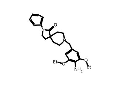 CCOc1cc(CN2CCC3(CC2)CCN(c2ccccc2)C3=O)cc(OCC)c1N